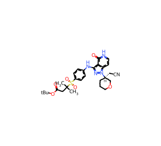 CC(C)(C)OC(=O)CC(C)(C)S(=O)(=O)c1ccc(Nc2nn([C@]3(CC#N)CCCOC3)c3cc[nH]c(=O)c23)cc1